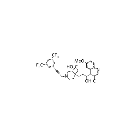 COc1ccc2ncc(Cl)c(C(O)CCC3(CC(=O)O)CCN(CC#Cc4cc(C(F)(F)F)cc(C(F)(F)F)c4)CC3)c2c1